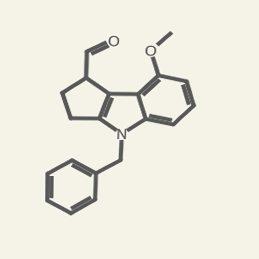 COc1cccc2c1c1c(n2Cc2ccccc2)CCC1C=O